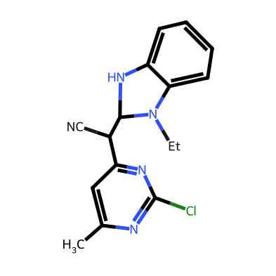 CCN1c2ccccc2NC1C(C#N)c1cc(C)nc(Cl)n1